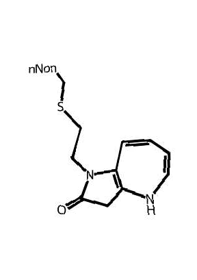 CCCCCCCCCCSCCN1C(=O)CC2=C1C=CC=CN2